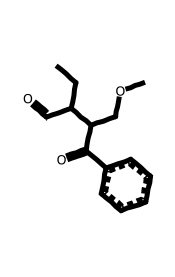 CCC([C]=O)C(COC)C(=O)c1ccccc1